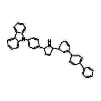 C1=CC(c2ccc(-c3ccccc3)cc2)=CC(C2C=CC(c3ccc(-n4c5ccccc5c5ccccc54)cc3)N2)C1